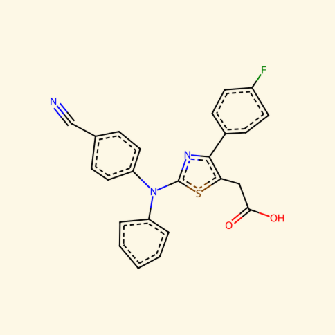 N#Cc1ccc(N(c2ccccc2)c2nc(-c3ccc(F)cc3)c(CC(=O)O)s2)cc1